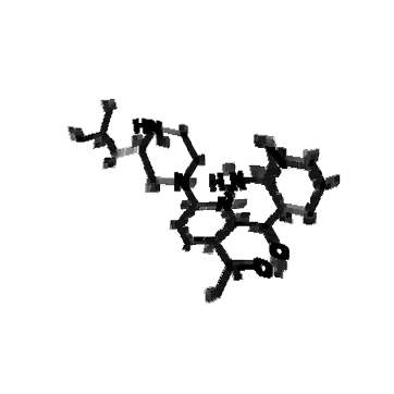 CC(=O)c1ccc(N2CCN[C@@H](CC(C)C)C2)nc1C(=O)c1cccnc1N